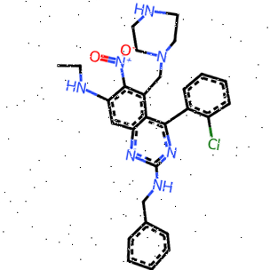 CCNc1cc2nc(NCc3ccccc3)nc(-c3ccccc3Cl)c2c(CN2CCNCC2)c1[N+](=O)[O-]